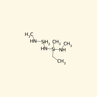 CC[Si](C)(NC)N[SiH2]NC